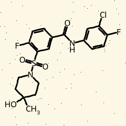 CC1(O)CCN(S(=O)(=O)c2cc(C(=O)Nc3ccc(F)c(Cl)c3)ccc2F)CC1